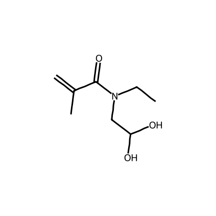 C=C(C)C(=O)N(CC)CC(O)O